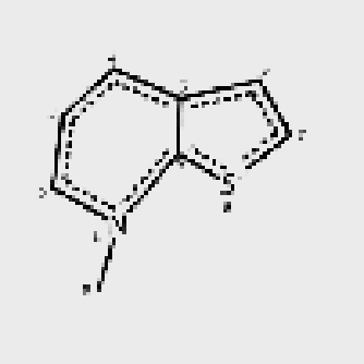 Cn1cccc2cc[s+]c1-2